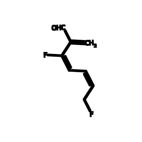 C=C(C=O)/C(F)=C\C=C/CF